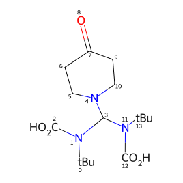 CC(C)(C)N(C(=O)O)C(N1CCC(=O)CC1)N(C(=O)O)C(C)(C)C